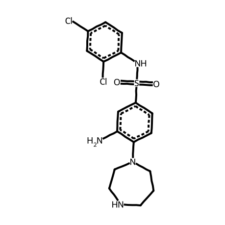 Nc1cc(S(=O)(=O)Nc2ccc(Cl)cc2Cl)ccc1N1CCCNCC1